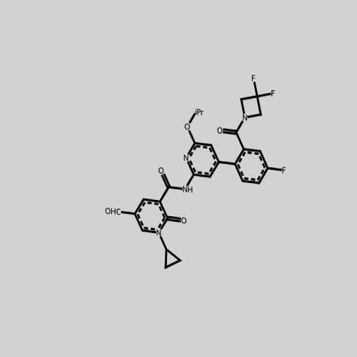 CC(C)Oc1cc(-c2ccc(F)cc2C(=O)N2CC(F)(F)C2)cc(NC(=O)c2cc(C=O)cn(C3CC3)c2=O)n1